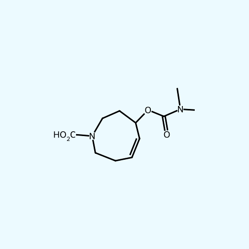 CN(C)C(=O)OC1C=CCCN(C(=O)O)CC1